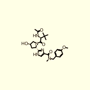 COc1ccc(CN(C)C(=O)c2c[nH]c([C@@H]3C[C@@H](O)CN3C(=O)[C@@H](NC(C)=O)C(C)(C)C)n2)cc1